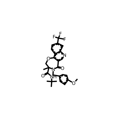 COc1ccc(CN2C(=O)c3cnc4cc(C(F)(F)F)ccc4c3OCC2(C)C(=O)NC(C)(C)C)cc1